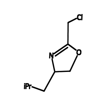 CC(C)CC1COC(CCl)=N1